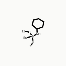 CCO[Si](NC1CCCCC1)(OCC)C(C)CC